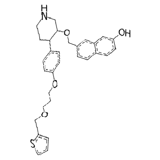 Oc1ccc2ccc(COC3CNCCC3c3ccc(OCCCOCc4cccs4)cc3)cc2c1